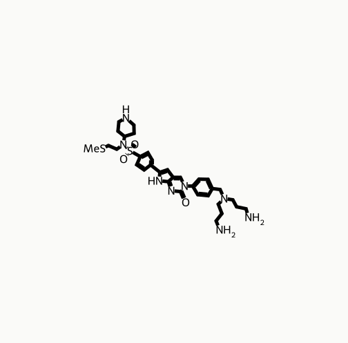 CSCCN(C1CCNCC1)S(=O)(=O)c1ccc(-c2cc3cn(-c4ccc(CN(CCCN)CCCN)cc4)c(=O)nc3[nH]2)cc1